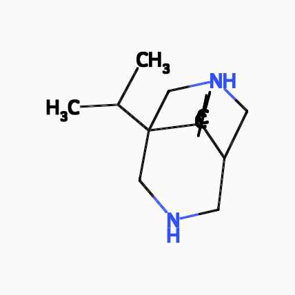 CC(C)C12CNCC(CNC1)C21CCCCC1